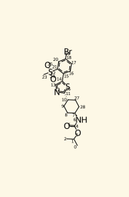 CC(C)OC(=O)N[C@H]1CC[C@H](c2ncc(-c3ccc(Br)cc3S(C)(=O)=O)s2)CC1